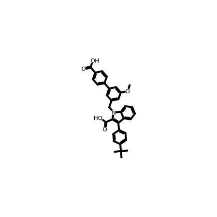 COc1cc(Cn2c(C(=O)O)c(-c3ccc(C(C)(C)C)cc3)c3ccccc32)cc(-c2ccc(C(=O)O)cc2)c1